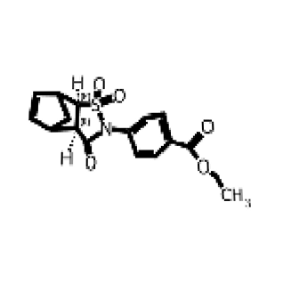 CCOC(=O)c1ccc(N2C(=O)[C@H]3C4C=CC(C4)[C@H]3S2(=O)=O)cc1